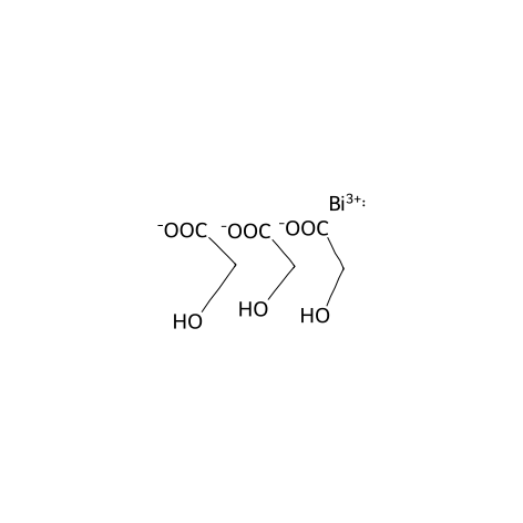 O=C([O-])CO.O=C([O-])CO.O=C([O-])CO.[Bi+3]